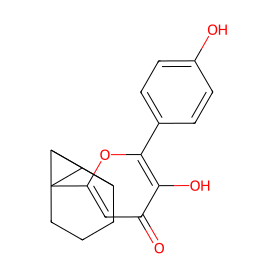 O=c1cc(C23CCCC4C2C43)oc(-c2ccc(O)cc2)c1O